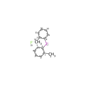 Cc1ccccc1[I+]c1ccccc1C.[F-]